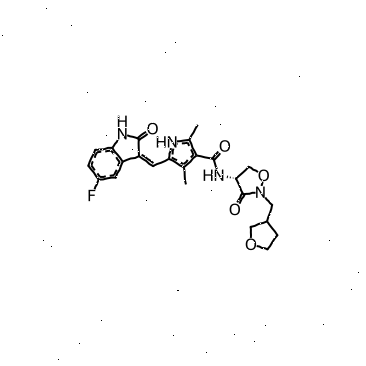 Cc1[nH]c(/C=C2\C(=O)Nc3ccc(F)cc32)c(C)c1C(=O)N[C@@H]1CON(CC2CCOC2)C1=O